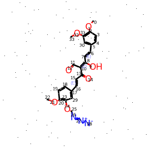 COc1ccc(/C=C/C(O)=C(\C=O)C(=O)/C=C/c2ccc(OC)c(OCN=[N+]=[N-])c2)cc1OC